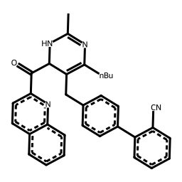 CCCCC1=C(Cc2ccc(-c3ccccc3C#N)cc2)C(C(=O)c2ccc3ccccc3n2)NC(C)=N1